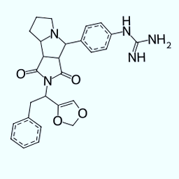 N=C(N)Nc1ccc(C2C3C(=O)N(C(Cc4ccccc4)C4=COCO4)C(=O)C3C3CCCN32)cc1